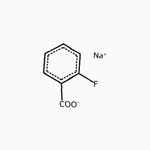 O=C([O-])c1ccccc1F.[Na+]